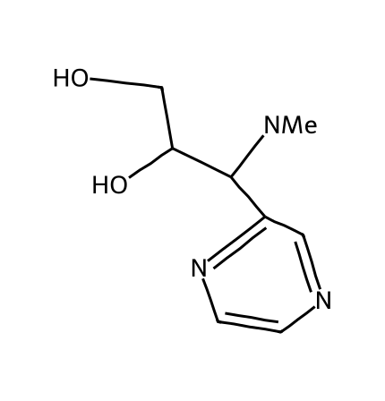 CNC(c1cnccn1)C(O)CO